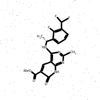 COC(=O)c1cc2c(N[C@H](C)c3cccc(C(F)F)c3F)nc(C)nc2[nH]c1=O